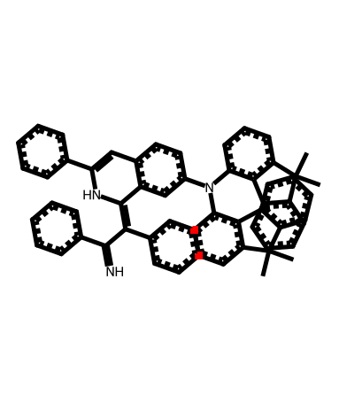 CC1(C)c2ccccc2-c2c(N(c3ccc4c(c3)/C(=C(/C(=N)c3ccccc3)c3ccccc3)NC(c3ccccc3)=C4)c3cccc4c3-c3ccccc3C4(C)C)cccc21